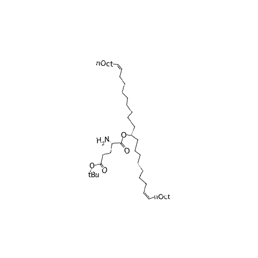 CCCCCCCC/C=C\CCCCCCCCC(CCCCCCC/C=C\CCCCCCCC)OC(=O)[C@@H](N)CCC(=O)OC(C)(C)C